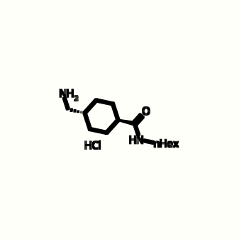 CCCCCCNC(=O)[C@H]1CC[C@H](CN)CC1.Cl